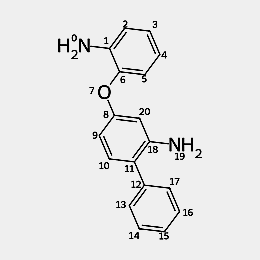 Nc1ccccc1Oc1ccc(-c2ccccc2)c(N)c1